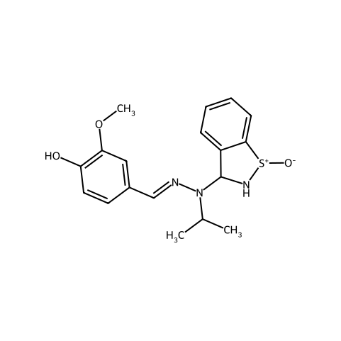 COc1cc(/C=N/N(C(C)C)C2N[S+]([O-])c3ccccc32)ccc1O